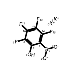 [K+].[K+].[O-]B([O-])c1c(O)c(F)c(F)c(F)c1F